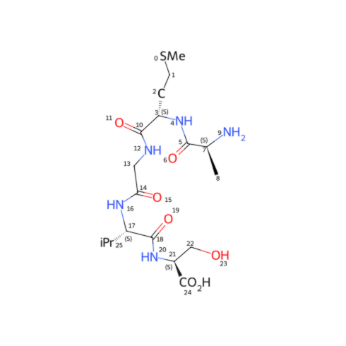 CSCC[C@H](NC(=O)[C@H](C)N)C(=O)NCC(=O)N[C@H](C(=O)N[C@@H](CO)C(=O)O)C(C)C